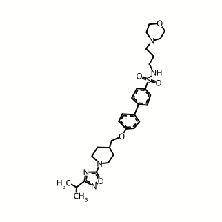 CC(C)c1noc(N2CCC(COc3ccc(-c4ccc(S(=O)(=O)NCCCN5CCOCC5)cc4)cc3)CC2)n1